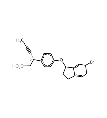 CC#C[C@@H](CC(=O)O)c1ccc(OC2CCC3=CCC(Br)C=C32)cc1